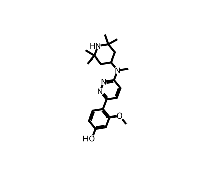 COc1cc(O)ccc1-c1ccc(N(C)C2CC(C)(C)NC(C)(C)C2)nn1